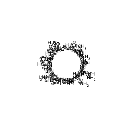 CC[C@H](C)[C@@H]1NC(=O)[C@H]([C@@H](C)O)NC(=O)[C@H](Cc2cncn2C)NC(=O)[C@H](Cc2ccccc2)NC(=O)CSC[C@@H](C(=O)NCC(N)=O)NC(=O)[C@H](Cc2ccc(O)cc2)NC(=O)[C@H](Cc2c[nH]c3ccccc23)NC(=O)[C@H](Cc2ccc(O)cc2)NC(=O)[C@H](CCCNC(=N)N)NC(=O)[C@H](Cc2ccccc2)NC(=O)C(C)(C)NC(=O)[C@H](CO)NC(=O)[C@H](CCCCN)NC(=O)[C@H](CCCNC(=N)N)NC1=O